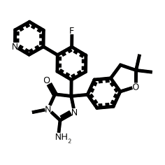 CN1C(=O)C(c2ccc3c(c2)CC(C)(C)O3)(c2ccc(F)c(-c3cccnc3)c2)N=C1N